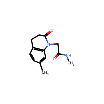 CNC(=O)CN1C(=O)CCc2ccc(C)cc21